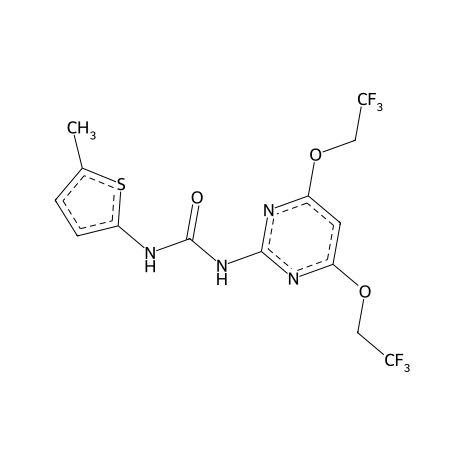 Cc1ccc(NC(=O)Nc2nc(OCC(F)(F)F)cc(OCC(F)(F)F)n2)s1